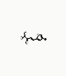 O=C(O)C(=O)/C=C/c1cc(Br)cs1